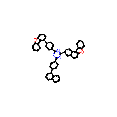 C1=CC(c2cccc3oc4ccccc4c23)CC=C1c1nc(-c2ccc(-c3cccc4ccccc34)cc2)nc(-c2ccc3c(ccc4oc5ccccc5c43)c2)n1